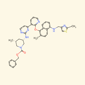 Cc1nc(CNc2cccc3c(Oc4ncccc4-c4ccnc(N[C@H]5C[C@@H](C)CN(C(=O)OCc6ccccc6)C5)n4)c(C)ccc23)cs1